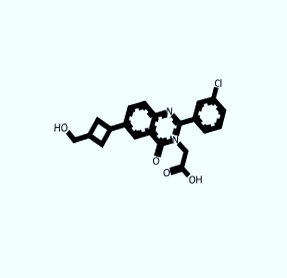 O=C(O)Cn1c(-c2cccc(Cl)c2)nc2ccc(C3CC(CO)C3)cc2c1=O